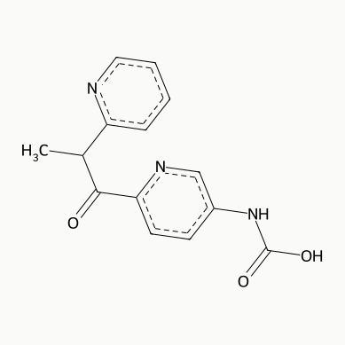 CC(C(=O)c1ccc(NC(=O)O)cn1)c1ccccn1